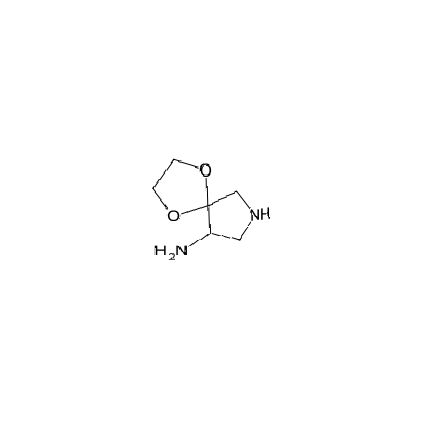 NC1CNCC12OCCO2